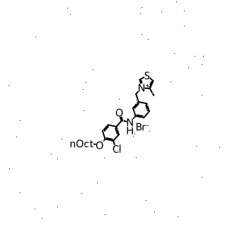 CCCCCCCCOc1ccc(C(=O)Nc2cccc(C[n+]3cscc3C)c2)cc1Cl.[Br-]